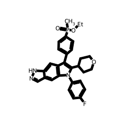 CCOP(C)(=O)c1ccc(-c2c(C3CCOCC3)n(-c3ccc(F)cc3)c3cc4cn[nH]c4cc23)cc1